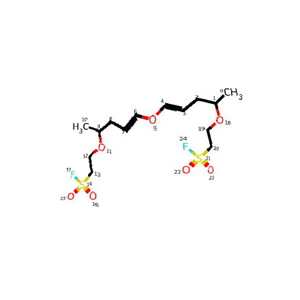 CC(CC=COC=CCC(C)OCCS(=O)(=O)F)OCCS(=O)(=O)F